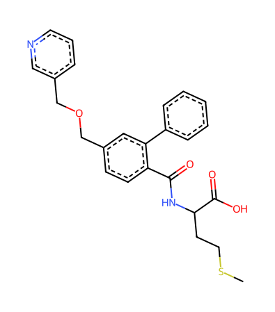 CSCCC(NC(=O)c1ccc(COCc2cccnc2)cc1-c1ccccc1)C(=O)O